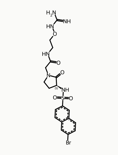 N=C(N)NOCCNC(=O)CN1CC[C@H](NS(=O)(=O)c2ccc3cc(Br)ccc3c2)C1=O